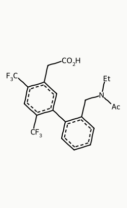 CCN(Cc1ccccc1-c1cc(CC(=O)O)c(C(F)(F)F)cc1C(F)(F)F)C(C)=O